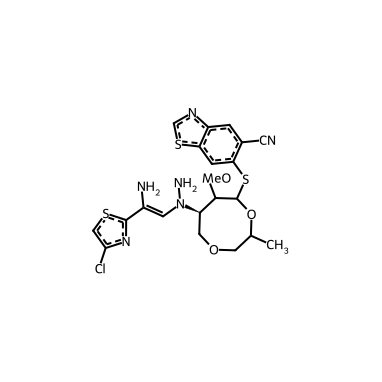 COC1C(Sc2cc3scnc3cc2C#N)OC(C)COC[C@H]1N(N)/C=C(\N)c1nc(Cl)cs1